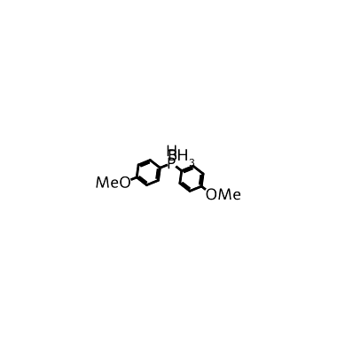 B.COc1ccc(Pc2ccc(OC)cc2)cc1